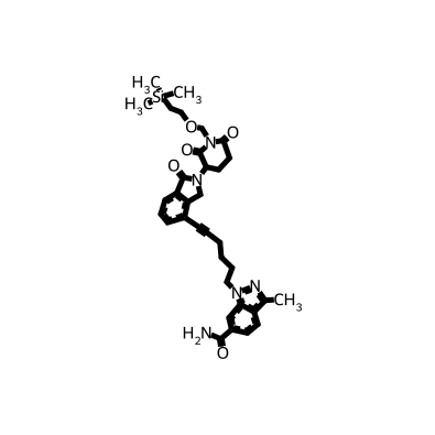 Cc1nn(CCCCC#Cc2cccc3c2CN(C2CCC(=O)N(COCC[Si](C)(C)C)C2=O)C3=O)c2cc(C(N)=O)ccc12